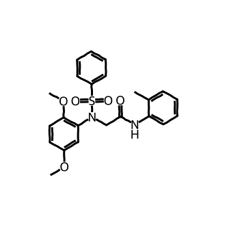 COc1ccc(OC)c(N(CC(=O)Nc2ccccc2C)S(=O)(=O)c2ccccc2)c1